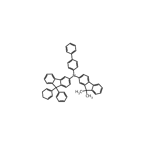 CC1(C)c2ccccc2-c2ccc(N(c3ccc(-c4ccccc4)cc3)c3ccc4c(c3)-c3ccccc3C4(C3=CCCC=C3)c3ccccc3)cc21